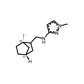 Cn1ccc(NCC2C[C@@H]3CC[C@]2(C)C3)n1